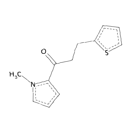 Cn1cccc1C(=O)CCc1cccs1